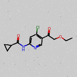 CCOCC(=O)c1cnc(NC(=O)C2CC2)cc1Cl